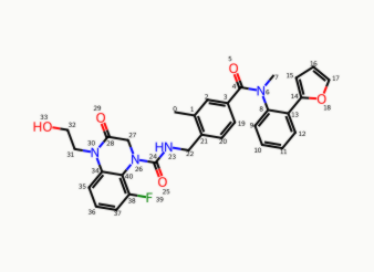 Cc1cc(C(=O)N(C)c2ccccc2-c2ccco2)ccc1CNC(=O)N1CC(=O)N(CCO)c2cccc(F)c21